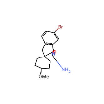 CO[C@H]1CC[C@]2(CC1)Cc1ccc(Br)cc1[C@@]21COC(N)=N1